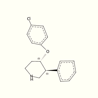 Clc1ccc(O[C@H]2CCNC[C@@H]2c2ccccc2)cc1